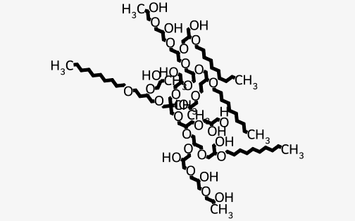 CCCCCCCCCCOCCC(COCC(C)(COCC(CO)OCC(COCC(COCC(O)COCC(C)O)OCC(CO)OCCCCCCCCCC)OCC(CCOCC(C)O)OCCCCCCCCCC)COCC(COCC(O)CO)OCC(COCC(CO)OCCCCCCCCCC)OCC(O)COCC(O)COCC(C)O)OCC(C)O